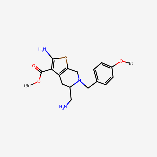 CCOc1ccc(CN2Cc3sc(N)c(C(=O)OC(C)(C)C)c3CC2CN)cc1